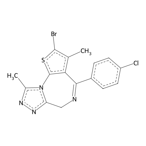 Cc1c(Br)sc2c1C(c1ccc(Cl)cc1)=NCc1nnc(C)n1-2